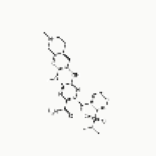 COc1cc2c(cc1Nc1nnc(C(N)=O)c(Nc3ccccc3S(=O)(=O)C(C)C)n1)CCN(C)C2